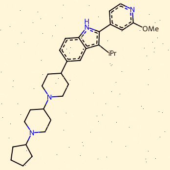 COc1cc(-c2[nH]c3ccc(C4CCN(C5CCN(C6CCCC6)CC5)CC4)cc3c2C(C)C)ccn1